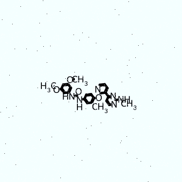 CNc1nccc(-c2cccnc2Oc2ccc(NC(=O)Nc3cc(OC)cc(OC)c3)cc2C)n1